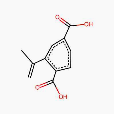 C=C(C)c1cc(C(=O)O)ccc1C(=O)O